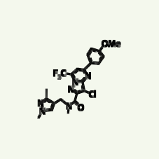 COc1ccc(-c2cc(C(F)(F)F)n3nc(C(=O)N(C)Cc4cn(C)nc4C)c(Cl)c3n2)cc1